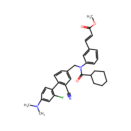 COC(=O)/C=C/c1cccc(N(Cc2ccc(-c3ccc(N(C)C)cc3F)c(C#N)c2)C(=O)C2CCCCC2)c1